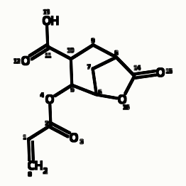 C=CC(=O)OC1C2CC(CC1C(=O)O)C(=O)O2